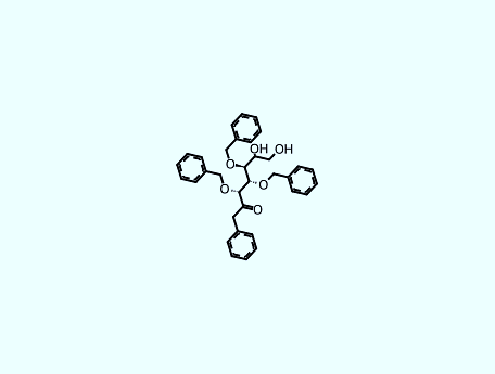 O=C(Cc1ccccc1)[C@H](OCc1ccccc1)[C@@H](OCc1ccccc1)[C@@H](OCc1ccccc1)[C@H](O)CO